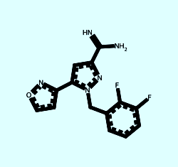 N=C(N)c1cc(-c2ccon2)n(Cc2cccc(F)c2F)n1